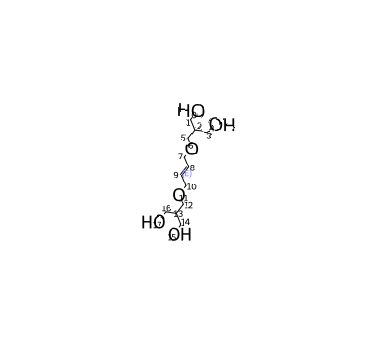 OCC(CO)COC/C=C/COCC(CO)CO